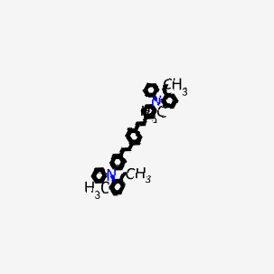 CCc1cccc(C)c1N(c1ccccc1)c1ccc(CCc2ccc(CCc3ccc(N(c4ccccc4)c4c(C)cccc4CC)cc3)cc2)cc1